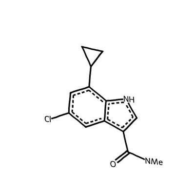 CNC(=O)c1c[nH]c2c(C3CC3)cc(Cl)cc12